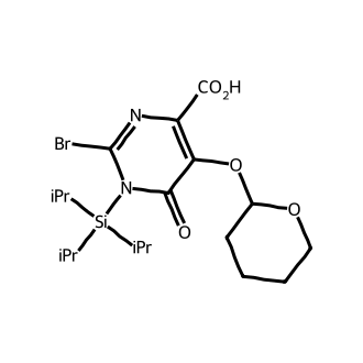 CC(C)[Si](C(C)C)(C(C)C)n1c(Br)nc(C(=O)O)c(OC2CCCCO2)c1=O